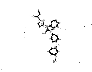 C=CC(=O)N1CC[C@@H](n2c(=O)n(-c3ccc(Oc4cccc(OCC)c4)cc3)c3cnccc32)C1